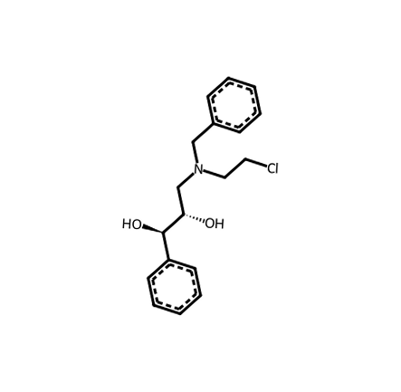 O[C@H](c1ccccc1)[C@@H](O)CN(CCCl)Cc1ccccc1